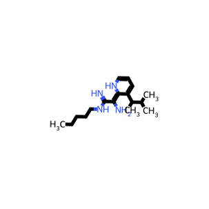 CCCCCNC(=N)/C(N)=C1\NC=CC=C1C(C)C(C)C